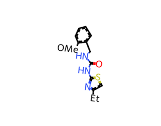 CCc1csc(NC(=O)NCc2ccccc2OC)n1